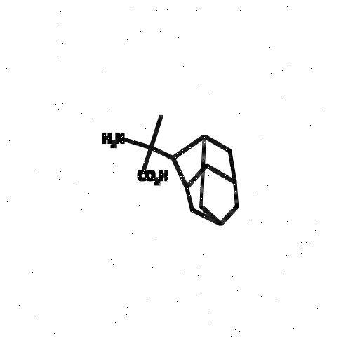 CC(N)(C(=O)O)C1C2CC3CC(C2)CC1C3